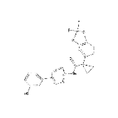 O=C(Nc1ccc(-c2cccc(O)c2)cn1)C1(c2ccc3c(c2)OC(F)(F)O3)CC1